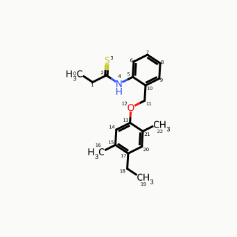 CCC(=S)Nc1ccccc1COc1cc(C)c(CC)cc1C